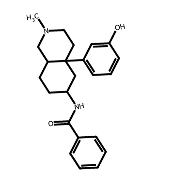 CN1CCC2(c3cccc(O)c3)CC(NC(=O)c3ccccc3)CCC2C1